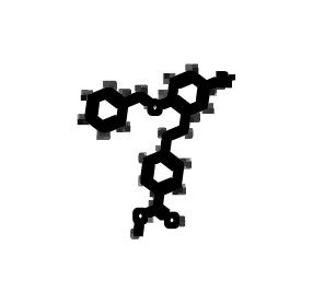 COC(=O)c1ccc(CCc2cc(Br)ccc2OCc2ccccc2)cc1